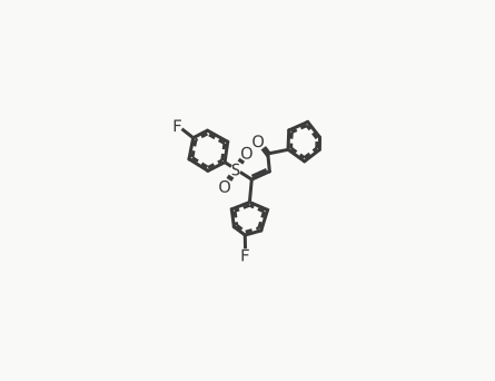 O=C(C=C(c1ccc(F)cc1)S(=O)(=O)c1ccc(F)cc1)c1ccccc1